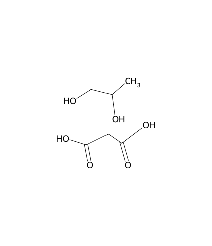 CC(O)CO.O=C(O)CC(=O)O